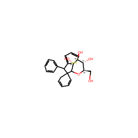 OC[C@H]1OC(C2(C(c3ccccc3)c3cccs3)C=CC=CC2)[C@H](O)[C@@H](O)[C@@H]1O